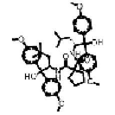 COc1ccc(C(O)(c2ccc(OC)cc2)[C@@H](CC(C)C)NC(=O)C2(C(=O)N[C@H](CC(C)C)C(O)(c3ccc(OC)cc3)c3ccc(OC)cc3)CCCC2)cc1